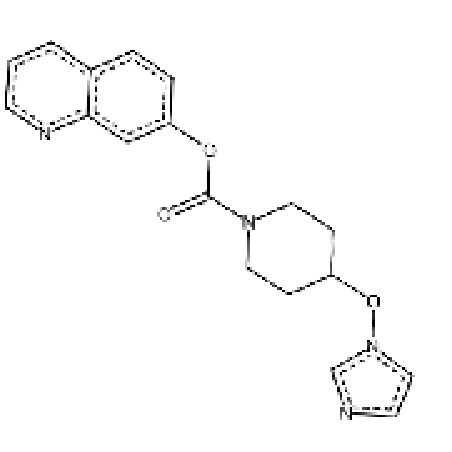 O=C(Oc1ccc2cccnc2c1)N1CCC(On2ccnc2)CC1